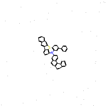 c1ccc(-c2cccc(N(c3ccc4c(ccc5ccc6ccccc6c54)c3)c3cccc4c3sc3cc5ccccc5cc34)c2)cc1